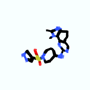 Cc1nc2c(n1C)-c1nc(NC3CCN(S(=O)(=O)c4cn[nH]c4)CC3)ncc1CC2